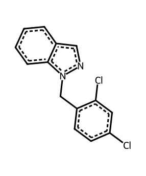 Clc1ccc(Cn2ncc3ccccc32)c(Cl)c1